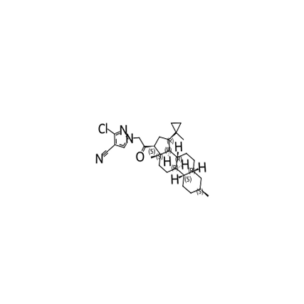 C[C@H]1CC[C@H]2[C@H](CC[C@@H]3[C@@H]2CC[C@@]2(C)[C@H]3[C@H](C3(C)CC3)C[C@@H]2C(=O)Cn2cc(C#N)c(Cl)n2)C1